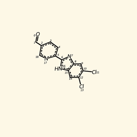 O=Cc1ccc(-c2nc3cc(Cl)c(Cl)cc3[nH]2)nc1